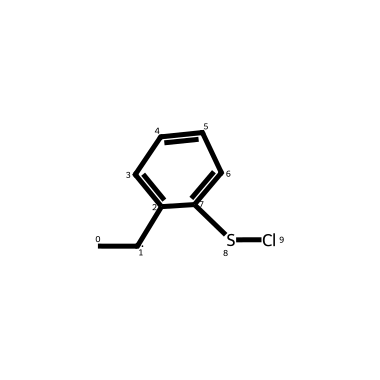 C[CH]c1ccccc1SCl